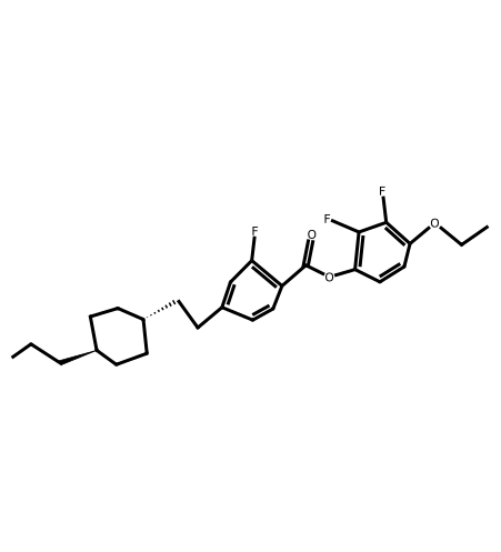 CCC[C@H]1CC[C@H](CCc2ccc(C(=O)Oc3ccc(OCC)c(F)c3F)c(F)c2)CC1